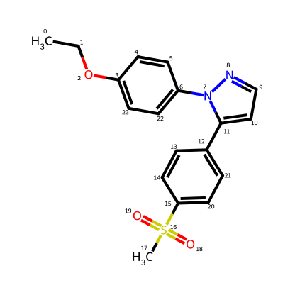 CCOc1ccc(-n2nccc2-c2ccc(S(C)(=O)=O)cc2)cc1